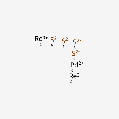 [Pd+2].[Re+3].[Re+3].[S-2].[S-2].[S-2].[S-2]